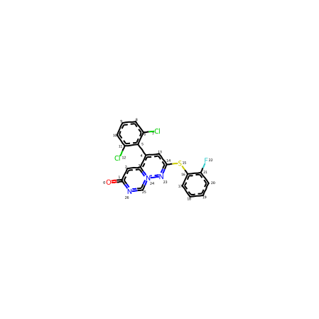 O=c1cc2c(-c3c(Cl)cccc3Cl)cc(Sc3ccccc3F)nn2cn1